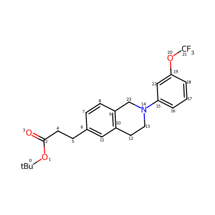 CC(C)(C)OC(=O)CCc1ccc2c(c1)CCN(c1cccc(OC(F)(F)F)c1)C2